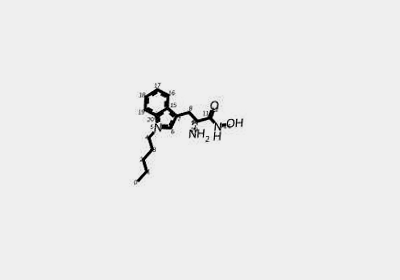 CCCCCn1cc(C[C@@H](N)C(=O)NO)c2ccccc21